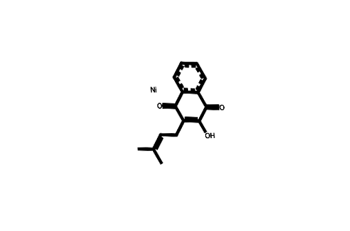 CC(C)=CCC1=C(O)C(=O)c2ccccc2C1=O.[Ni]